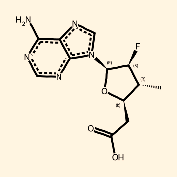 C[C@H]1[C@H](F)[C@H](n2cnc3c(N)ncnc32)O[C@@H]1CC(=O)O